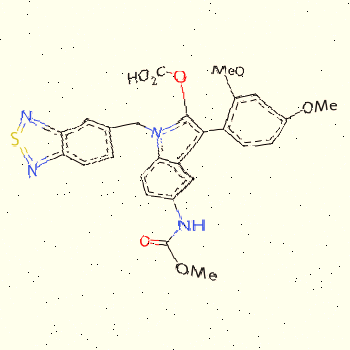 COC(=O)Nc1ccc2c(c1)c(-c1ccc(OC)cc1OC)c(OC(=O)O)n2Cc1ccc2nsnc2c1